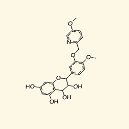 COc1ccc(COc2cc(C3Oc4cc(O)cc(O)c4C(O)C3O)ccc2OC)nc1